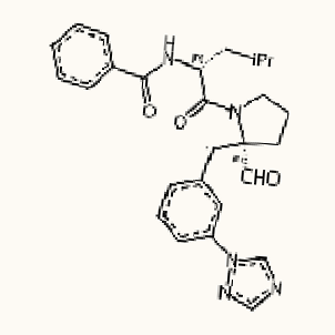 CC(C)C[C@@H](NC(=O)c1ccccc1)C(=O)N1CCC[C@]1([CH]c1cccc(-n2cncn2)c1)C=O